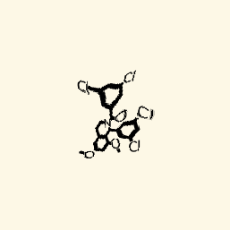 COc1cc2c(c(OC)c1)C(c1cc(Cl)cc(Cl)c1)N(C(=O)c1cc(Cl)cc(Cl)c1)CC2